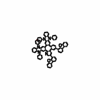 c1ccc(-n2c3ccccc3n(-c3ccccc3)c3cc4c(cc32)c2ccc(-c3cccc5c3oc3ccccc35)cc2c2cc(-c3cccc5c3oc3ccccc35)cnc2c2cc3c(cc42)n(-c2ccccc2)c2ccccc2n3-c2ccccc2)cc1